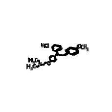 CCN(CC)CCOc1ccc(C(Cc2ccc(OC)cc2)c2ccccc2)cc1.Cl